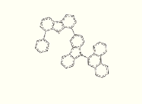 c1ccc(-c2cccc3c2sc2c(-c4ccc5c(c4)c4ccccc4n5-c4cc5ccccc5c5ccccc45)cccc23)cc1